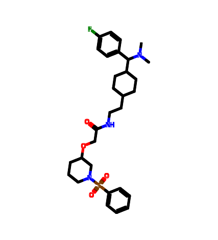 CN(C)C(c1ccc(F)cc1)C1CCC(CCNC(=O)COC2CCCN(S(=O)(=O)c3ccccc3)C2)CC1